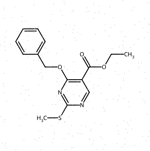 CCOC(=O)c1cnc(SC)nc1OCc1ccccc1